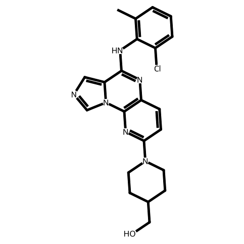 Cc1cccc(Cl)c1Nc1nc2ccc(N3CCC(CO)CC3)nc2n2cncc12